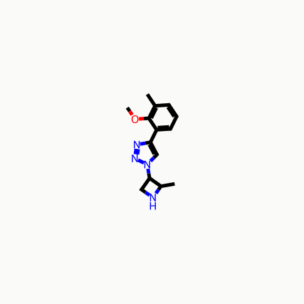 COc1c(C)cccc1-c1cn(C2CNC2C)nn1